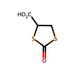 O=C1SCC(C(=O)O)S1